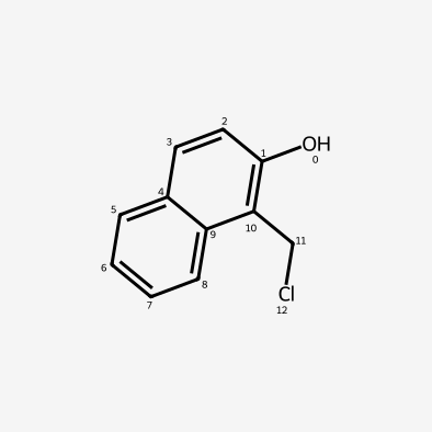 Oc1ccc2ccccc2c1CCl